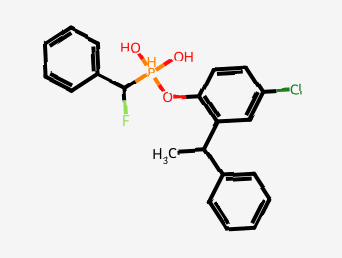 CC(c1ccccc1)c1cc(Cl)ccc1O[PH](O)(O)C(F)c1ccccc1